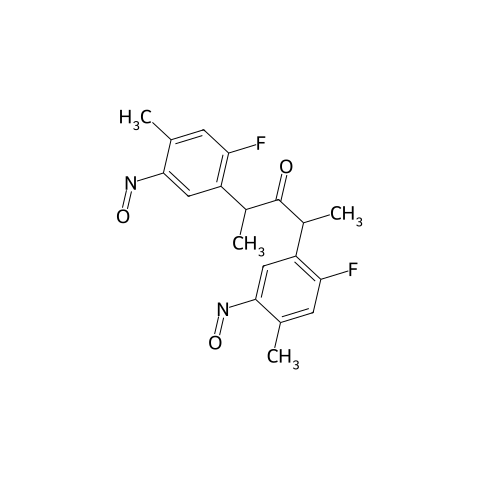 Cc1cc(F)c(C(C)C(=O)C(C)c2cc(N=O)c(C)cc2F)cc1N=O